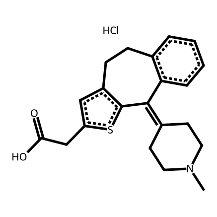 CN1CCC(=C2c3ccccc3CCc3cc(CC(=O)O)sc32)CC1.Cl